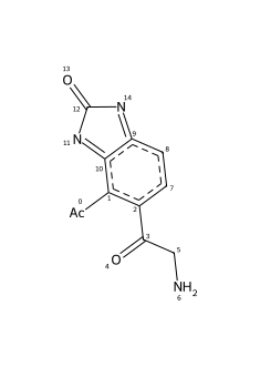 CC(=O)c1c(C(=O)CN)ccc2c1=NC(=O)N=2